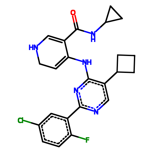 O=C(NC1CC1)C1=CNCC=C1Nc1nc(-c2cc(Cl)ccc2F)ncc1C1CCC1